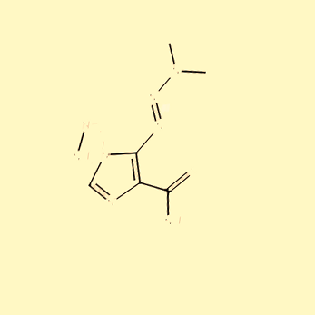 CN(C)/N=N/c1[nH]cnc1C(N)=O.NN